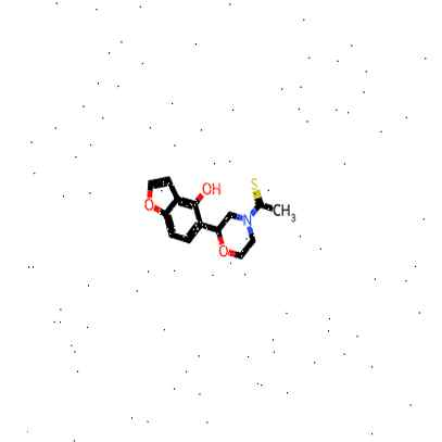 CC(=S)N1CCOC(c2ccc3occc3c2O)C1